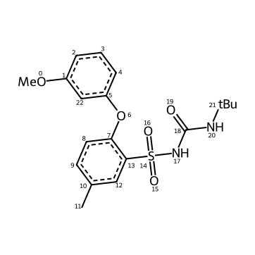 COc1cccc(Oc2ccc(C)cc2S(=O)(=O)NC(=O)NC(C)(C)C)c1